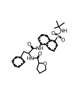 CC(C)(C)NS(=O)(=O)c1cccc2c(NC(=O)C(Cc3ccccc3)NC(=O)C3CCCO3)cccc12